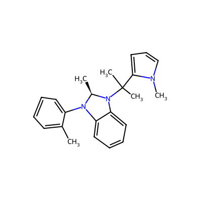 Cc1ccccc1N1c2ccccc2N(C(C)(C)c2cccn2C)[C@@H]1C